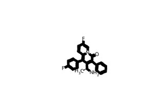 C[C@@H](N)c1c(-c2ccccc2)c(=O)n2cc(F)ccc2c1-c1ccc(F)cc1